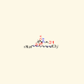 CC(C)(CO)[C@@H](O)C(=O)NCCCO.CCCCCCCCC/C=C/C=C/C=C/C=C/C=C/C=C/C(=O)O